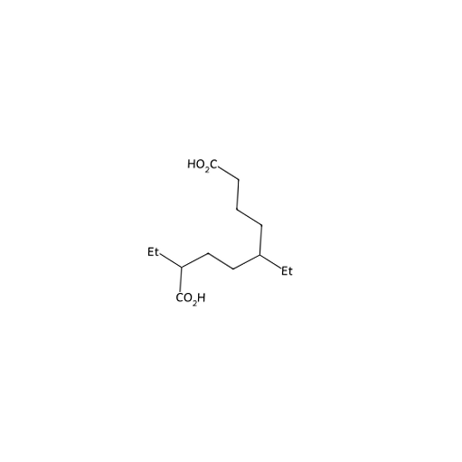 CCC(CCCC(=O)O)CCC(CC)C(=O)O